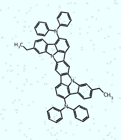 CCc1ccc2c3c(N(c4ccccc4)c4ccccc4)ccc4c5cc6c(cc5n(c2c1)c43)c1ccc(N(c2ccccc2)c2ccccc2)c2c3ccc(CC)cc3n6c12